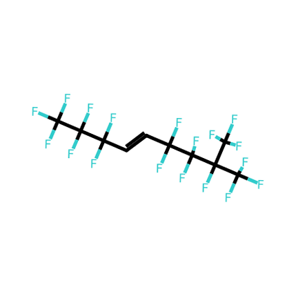 FC(F)(F)C(F)(F)C(F)(F)C=CC(F)(F)C(F)(F)C(F)(C(F)(F)F)C(F)(F)F